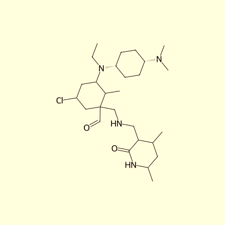 CCN(C1CC(Cl)CC(C=O)(CNCC2C(=O)NC(C)CC2C)C1C)[C@H]1CC[C@@H](N(C)C)CC1